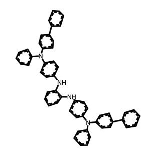 c1ccc(-c2ccc(N(c3ccccc3)c3ccc(Nc4ccccc4Nc4ccc(N(c5ccccc5)c5ccc(-c6ccccc6)cc5)cc4)cc3)cc2)cc1